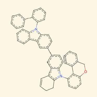 c1ccc2c(c#1)-c1c(cccc1-n1c3c(c4cc(-c5ccc6c(c5)c5ccccc5n6-c5ccccc5-c5ccccc5)ccc41)C=CCC3)OC2